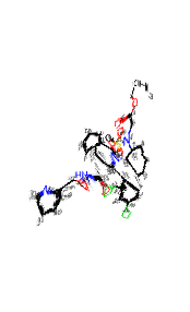 CCOC(=O)CN([C@H]1CCCC[C@@H]1N1C(=O)c2ccccc2[C@@H](C(=O)NOCc2ccccn2)[C@@H]1c1ccc(Cl)cc1Cl)S(C)(=O)=O